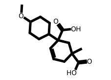 COC1CCC(C2(C(=O)O)C=CCC(C)(C(=O)O)C2)CC1